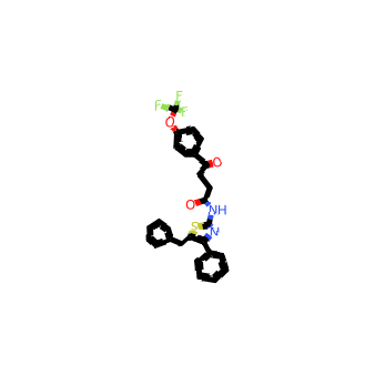 O=C(CCC(=O)c1ccc(OC(F)(F)F)cc1)Nc1nc(-c2ccccc2)c(Cc2ccccc2)s1